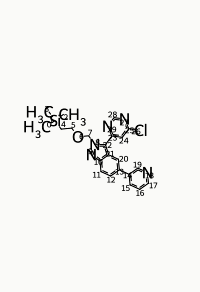 C[Si](C)(C)CCOCn1nc2ccc(-c3cccnc3)cc2c1-c1cc(Cl)ncn1